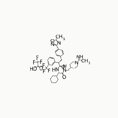 CC(=N)N1CCC(CNC(=O)[C@@H](NC(=O)[C@H](Cc2ccc(-c3noc(C)n3)cc2)c2cccc(C(F)(F)F)c2)C2CCCCC2)CC1.O=C(O)C(F)(F)F